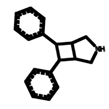 c1ccc(C2C3CNCC3C2c2ccccc2)cc1